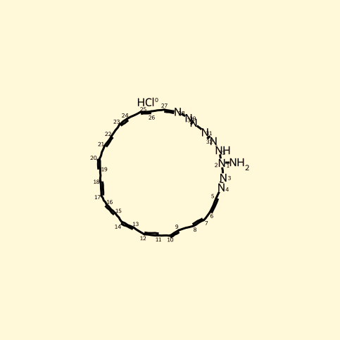 Cl.Nn1nncccccccccccccccccccccccnnnnn[nH]1